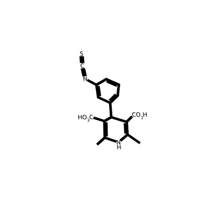 CC1=C(C(=O)O)C(c2cccc(N=C=S)c2)C(C(=O)O)=C(C)N1